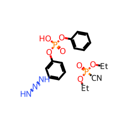 CCOP(=O)(C#N)OCC.N=[N+]=N.O=P(O)(Oc1ccccc1)Oc1ccccc1